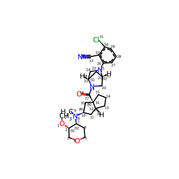 CO[C@@H]1COCC[C@@H]1N(C)[C@@H]1C[C@H]2CCC[C@@]2(C(=O)N2C[C@@H]3C[C@H]2CN3c2cccc(Cl)c2C#N)C1